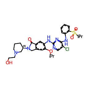 CC(C)Oc1cc2c(cc1Nc1ncc(Cl)c(Nc3ccccc3S(=O)(=O)C(C)C)n1)C(=O)N([C@@H]1CCCN(CCO)C1)C2